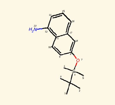 CC(C)(C)[Si](C)(C)Oc1ccc2c(N)cccc2c1